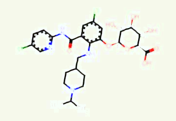 CC(C)N1CCC(CNc2c(O[C@@H]3O[C@H](C(=O)O)[C@@H](O)[C@H](O)[C@H]3O)cc(Cl)cc2C(=O)Nc2ccc(Cl)cn2)CC1